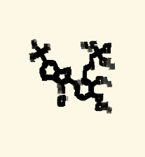 COc1cc[n+](-c2nc3cc(C(F)(F)F)ccc3[nH]2)c(CSCC(C)(C)Cl)c1C.[Cl-]